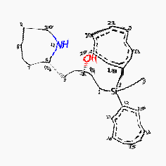 C[Si](C[C@@H](O)C[C@@H]1CCCCN1)(c1ccccc1)c1ccccc1